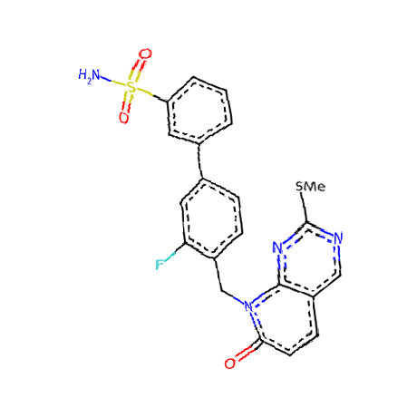 CSc1ncc2ccc(=O)n(Cc3ccc(-c4cccc(S(N)(=O)=O)c4)cc3F)c2n1